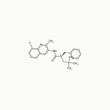 Cc1nc2c(F)cccc2cc1NC(=O)[C@@H](Cc1ccccc1)CC(C)(C)C